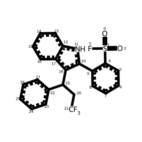 O=S(=O)(F)c1ccccc1-c1[nH]c2ccccc2c1C(CC(F)(F)F)c1ccccc1